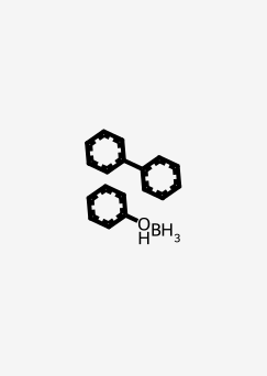 B.Oc1ccccc1.c1ccc(-c2ccccc2)cc1